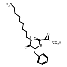 NCCCCCCCCNC(=O)[C@H](Cc1ccccc1)NC(=O)[C@H]1O[C@@H]1C(=O)O